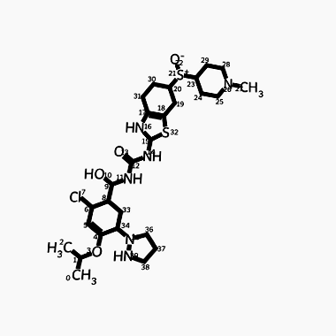 CC(C)OC1=CC(Cl)C(C(O)NC(=O)NC2NC3=C(CC([S+]([O-])C4CCN(C)CC4)CC3)S2)CC1N1CCCN1